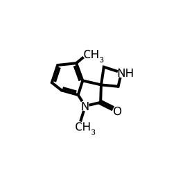 Cc1cccc2c1C1(CNC1)C(=O)N2C